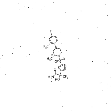 C[C@@H]1CN(c2ccc(F)cc2C(F)(F)F)CCN1S(=O)(=O)c1ncc(C(O)(C(N)=O)C(F)(F)F)s1